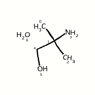 CC(C)(N)CO.O